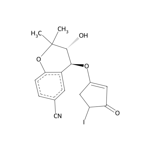 CC1(C)Oc2ccc(C#N)cc2[C@H](OC2=CC(=O)C(I)C2)[C@H]1O